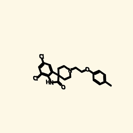 Cc1ccc(OCCN2CCC3(CC2)C(=O)Nc2c(Cl)cc(Cl)cc23)cc1